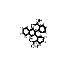 O=C(O)c1ccccc1-c1cc2ccccc2cc1-c1ccccc1C(=O)O